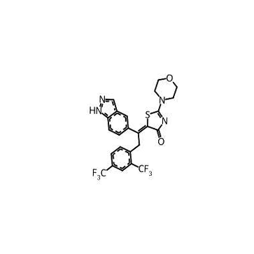 O=C1N=C(N2CCOCC2)SC1=C(Cc1ccc(C(F)(F)F)cc1C(F)(F)F)c1ccc2[nH]ncc2c1